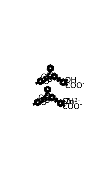 Cc1ccc(S(=O)(=O)C(COc2ccccc2)Oc2cccc(C(C)(C)c3ccc(C(=O)[O-])c(O)c3)c2)cc1.Cc1ccc(S(=O)(=O)C(COc2ccccc2)Oc2cccc(C(C)(C)c3ccc(C(=O)[O-])c(O)c3)c2)cc1.[Zn+2]